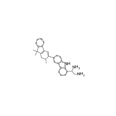 CC1CC2=C(C=C1c1ccc3[nH]c4c(C(N)CN)cccc4c3c1)c1ccccc1C2(C)C